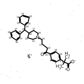 CC(C)(C(=O)[O-])c1ccc(C(=O)CCCN2CCC(C(c3ccccc3)c3ccccc3)CC2)cc1.[K+]